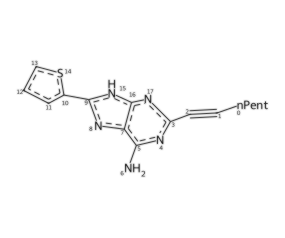 CCCCCC#Cc1nc(N)c2nc(-c3cccs3)[nH]c2n1